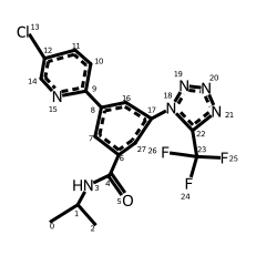 CC(C)NC(=O)c1cc(-c2ccc(Cl)cn2)cc(-n2nnnc2C(F)(F)F)c1